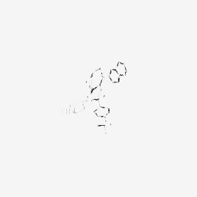 CC(=O)Nc1ccc(-c2nc3c(-c4ccc5ccccc5c4)ccnc3n2C2CCNCC2)cc1